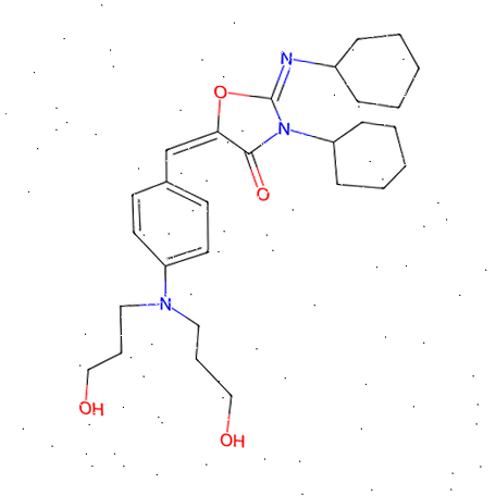 O=C1/C(=C\c2ccc(N(CCCO)CCCO)cc2)O/C(=N/C2CCCCC2)N1C1CCCCC1